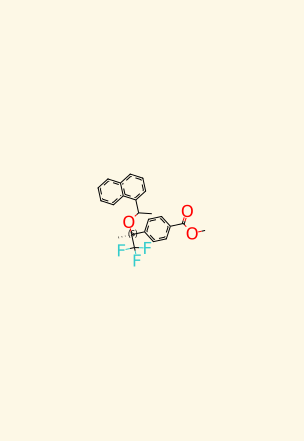 COC(=O)c1ccc([C@](C)(OC(C)c2cccc3ccccc23)C(F)(F)F)cc1